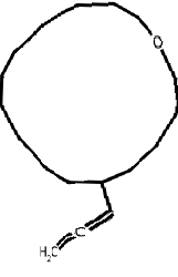 C=C=CC1CCCCCCCCCCOCCCC1